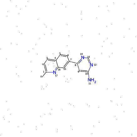 Cc1ccc2ccc(-c3cc(N)ncn3)cc2n1